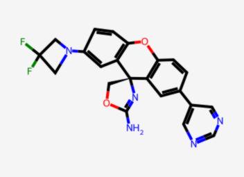 NC1=N[C@@]2(CO1)c1cc(-c3cncnc3)ccc1Oc1ccc(N3CC(F)(F)C3)cc12